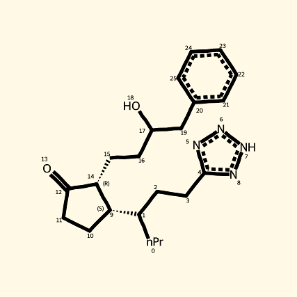 CCCC(CCc1nn[nH]n1)[C@@H]1CCC(=O)[C@@H]1CCC(O)Cc1ccccc1